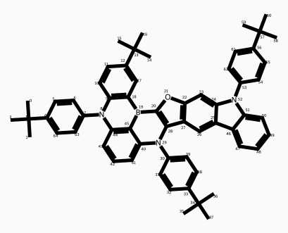 CC(C)(C)c1ccc(N2c3ccc(C(C)(C)C)cc3B3c4oc5cc6c(cc5c4N(c4ccc(C(C)(C)C)cc4)c4cccc2c43)c2ccccc2n6-c2ccc(C(C)(C)C)cc2)cc1